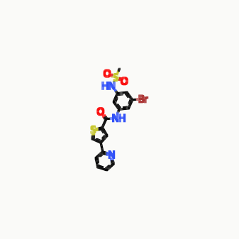 CS(=O)(=O)Nc1cc(Br)cc(NC(=O)c2cc(-c3ccccn3)cs2)c1